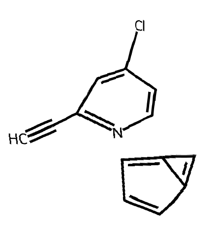 C#Cc1cc(Cl)ccn1.c1cc2cc-2c1